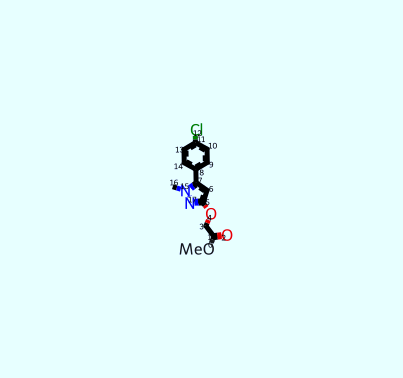 COC(=O)COc1cc(-c2ccc(Cl)cc2)n(C)n1